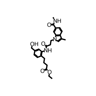 CCOC(=O)CCCc1ccc(CO)cc1NC(=O)CCn1cc(C)c2ccc(C(=O)NC)cc21